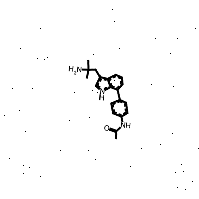 CC(=O)Nc1ccc(-c2cccc3c(CC(C)(C)N)c[nH]c23)cc1